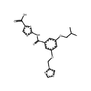 CC(C)COc1cc(OCc2cscn2)cc(C(=O)Nc2ncc(C(=O)O)s2)c1